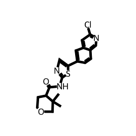 CC1(C)COCCC1C(=O)Nc1ncc(-c2ccc3cnc(Cl)cc3c2)s1